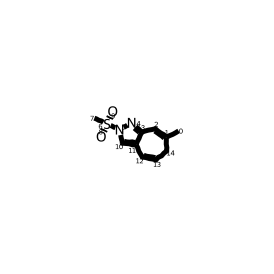 CC1=Cc2nn(S(C)(=O)=O)cc2C=CC1